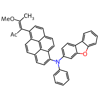 CO/C(C)=C(\C(C)=O)c1ccc2ccc3c(N(c4ccccc4)c4ccc5c(c4)oc4ccccc45)ccc4ccc1c2c43